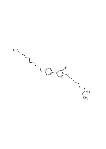 CCCCCCCCCCc1ccc(-c2ccc(OCCCCCC[C@@H](C)CC)c(F)c2)cc1